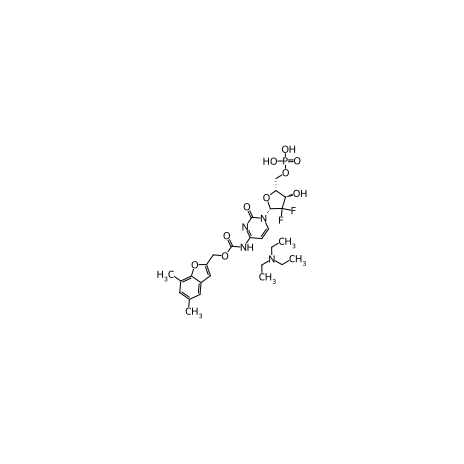 CCN(CC)CC.Cc1cc(C)c2oc(COC(=O)Nc3ccn([C@@H]4O[C@H](COP(=O)(O)O)[C@@H](O)C4(F)F)c(=O)n3)cc2c1